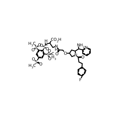 CS(=O)(=O)c1cc(S(C)(=O)=O)c(S(=O)(=O)NC(CNC(=O)COC2CC(C(N)c3ccccn3)N(C(=O)CCc3ccc(F)cc3)C2)C(=O)O)c(S(C)(=O)=O)c1